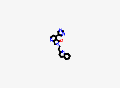 O=C1c2c(-c3cncnc3)ccnc2CN1CCc1ccc2ccccc2n1